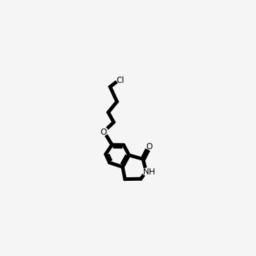 O=C1NCCc2ccc(OCCCCCl)cc21